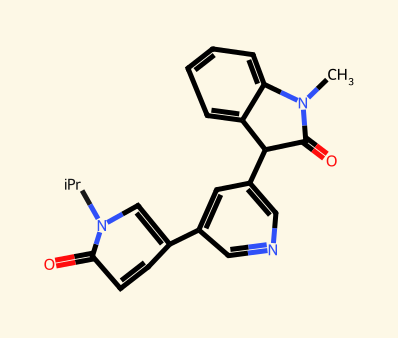 CC(C)n1cc(-c2cncc(C3C(=O)N(C)c4ccccc43)c2)ccc1=O